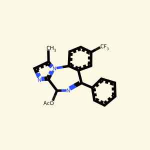 CC(=O)OC1N=C(c2ccccc2)c2cc(C(F)(F)F)ccc2-n2c(C)cnc21